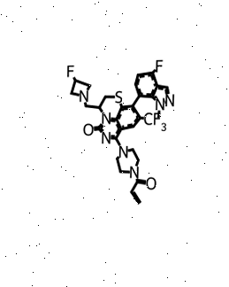 C=CC(=O)N1CCN(c2nc(=O)n3c4c(c(-c5ccc(F)c6cnn(C)c56)c(C(F)(F)F)cc24)SCC3CN2CC(F)C2)CC1